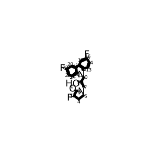 O=C1[C@@H](F)CCN1C[C@H](O)Cn1c2ccc(F)cc2c2cc(F)ccc21